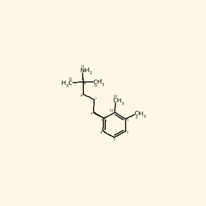 Cc1cccc(CCCC(C)(C)N)c1C